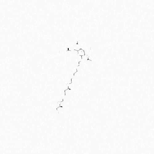 CC(=O)N[C@@H]1C(OCCOCCOCCNC(=O)CCOCNC(=O)CN)OC(COC(C)=O)[C@H](OC(C)=O)[C@@H]1C